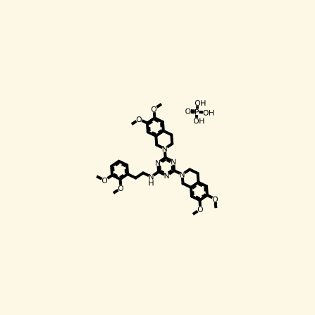 COc1cc2c(cc1OC)CN(c1nc(NCCc3cccc(OC)c3OC)nc(N3CCc4cc(OC)c(OC)cc4C3)n1)CC2.O=P(O)(O)O